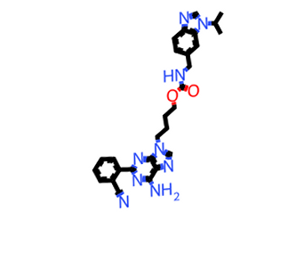 CC(C)n1cnc2ccc(CNC(=O)OCCCCn3cnc4c(N)nc(-c5ccccc5C#N)nc43)cc21